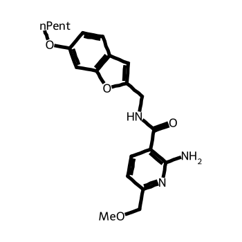 CCCCCOc1ccc2cc(CNC(=O)c3ccc(COC)nc3N)oc2c1